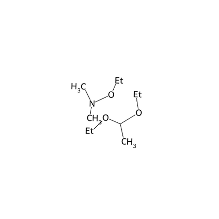 CCOC(C)OCC.CCON(C)C